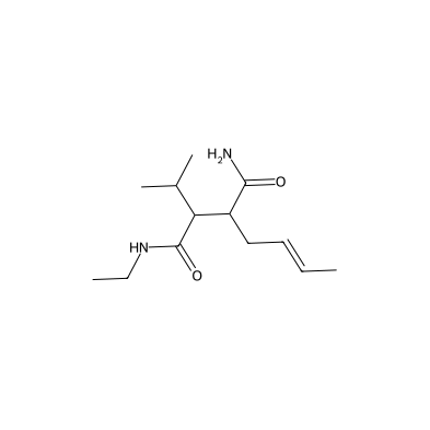 C/C=C/CC(C(N)=O)C(C(=O)NCC)C(C)C